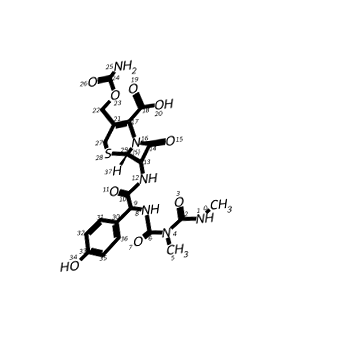 CNC(=O)N(C)C(=O)NC(C(=O)NC1C(=O)N2C(C(=O)O)=C(COC(N)=O)CS[C@@H]12)c1ccc(O)cc1